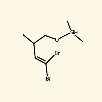 CC(C=C(Br)Br)CO[SiH](C)C